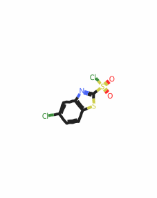 O=S(=O)(Cl)c1nc2cc(Cl)ccc2s1